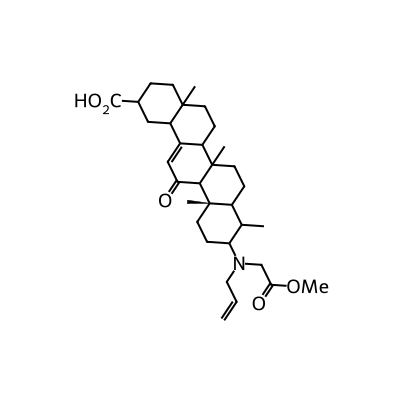 C=CCN(CC(=O)OC)C1CC[C@@]2(C)C(CCC3(C)C4CCC5(C)CCC(C(=O)O)CC5C4=CC(=O)C32)C1C